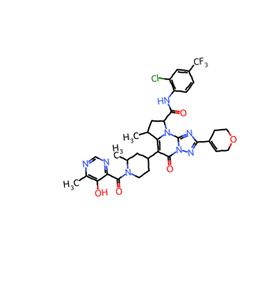 Cc1ncnc(C(=O)N2CCC(c3c4n(c5nc(C6=CCOCC6)nn5c3=O)C(C(=O)Nc3ccc(C(F)(F)F)cc3Cl)CC4C)CC2C)c1O